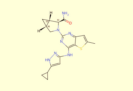 Cc1cc2nc(N3C[C@@H]4C[C@@H]4[C@H]3C(N)=O)nc(Nc3cc(C4CC4)[nH]n3)c2s1